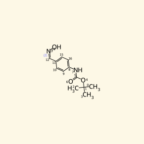 CC(C)(C)OC(=O)Nc1ccc(/C=N\O)cc1